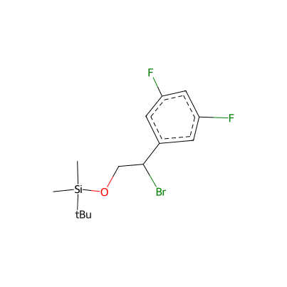 CC(C)(C)[Si](C)(C)OCC(Br)c1cc(F)cc(F)c1